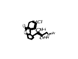 CCCNCC(O)C(O)c1cccc2oc(=O)c3c(c12)CCCC3.Cl